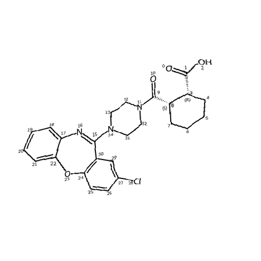 O=C(O)[C@@H]1CCCC[C@@H]1C(=O)N1CCN(C2=Nc3ccccc3Oc3ccc(Cl)cc32)CC1